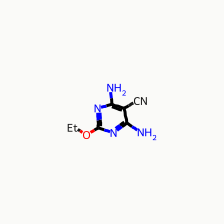 CCOc1nc(N)c(C#N)c(N)n1